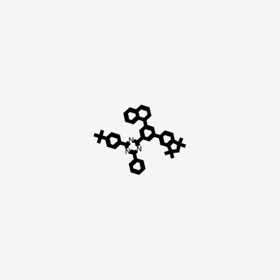 CC(C)(C)c1ccc(-c2nc(-c3ccccc3)nc(-c3cc(-c4ccc5c(c4)C(C)(C)CC5(C)C)cc(C4CC=Cc5ccccc54)c3)n2)cc1